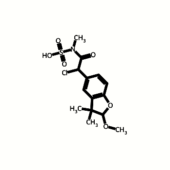 COC1Oc2ccc(C(Cl)C(=O)N(C)S(=O)(=O)O)cc2C1(C)C